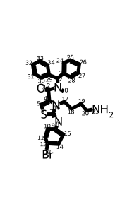 CN(C(=O)c1cs/c(=N\c2ccc(Br)cc2)n1CCCCN)C(c1ccccc1)c1ccccc1